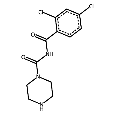 O=C(NC(=O)N1CCNCC1)c1ccc(Cl)cc1Cl